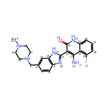 CCN1CCN(Cc2ccc3nc(-c4c(N)c5c(F)cccc5[nH]c4=O)[nH]c3c2)CC1